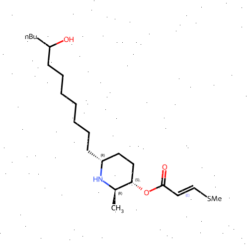 CCCCC(O)CCCCCCC[C@@H]1CC[C@H](OC(=O)/C=C/SC)[C@@H](C)N1